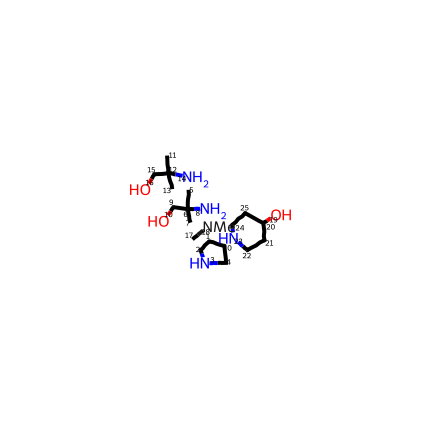 C1CCNC1.CC(C)(N)CO.CC(C)(N)CO.CNC.OC1CCNCC1